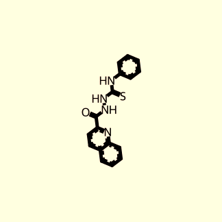 O=C(NNC(=S)Nc1ccccc1)c1ccc2ccccc2n1